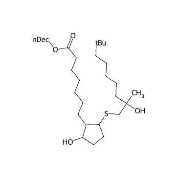 CCCCCCCCCCOC(=O)CCCCCCC1C(O)CCC1SCC(C)(O)CCCCCC(C)(C)C